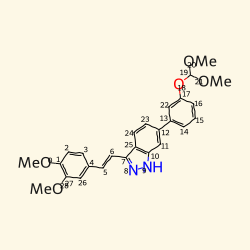 COc1ccc(C=Cc2n[nH]c3cc(-c4cccc(OC(OC)OC)c4)ccc23)cc1OC